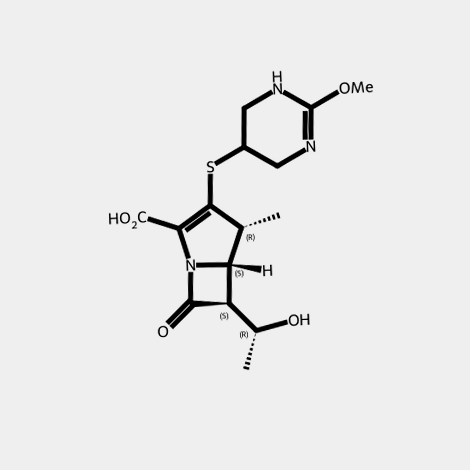 COC1=NCC(SC2=C(C(=O)O)N3C(=O)[C@H]([C@@H](C)O)[C@H]3[C@H]2C)CN1